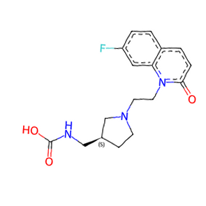 O=C(O)NC[C@@H]1CCN(CCn2c(=O)ccc3ccc(F)cc32)C1